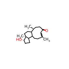 C/C1=C\C(=O)CC[C@H](C)C2CC[C@@]3(C)C(CC[C@@H]3O)C2CC1